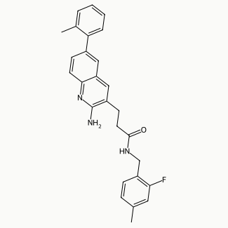 Cc1ccc(CNC(=O)CCc2cc3cc(-c4ccccc4C)ccc3nc2N)c(F)c1